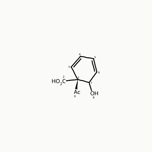 CC(=O)[C@@]1(C(=O)O)C=CC=CC1O